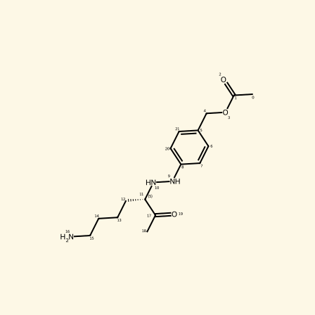 CC(=O)OCc1ccc(NN[C@@H](CCCCN)C(C)=O)cc1